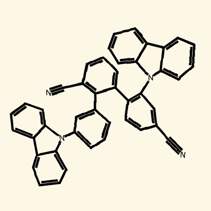 N#Cc1ccc(-c2cccc(C#N)c2-c2cccc(-n3c4ccccc4c4ccccc43)c2)c(-n2c3ccccc3c3ccccc32)c1